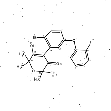 CCc1ccc(Oc2ccccc2F)cc1C1=C(O)C(C)(C)OC(C)(C)C1=O